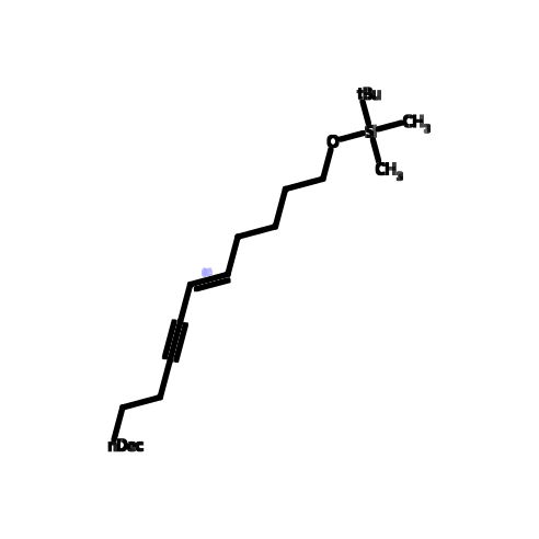 CCCCCCCCCCCCC#C/C=C/CCCCO[Si](C)(C)C(C)(C)C